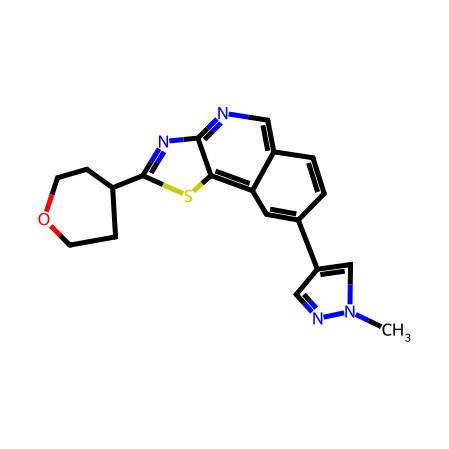 Cn1cc(-c2ccc3cnc4nc(C5CCOCC5)sc4c3c2)cn1